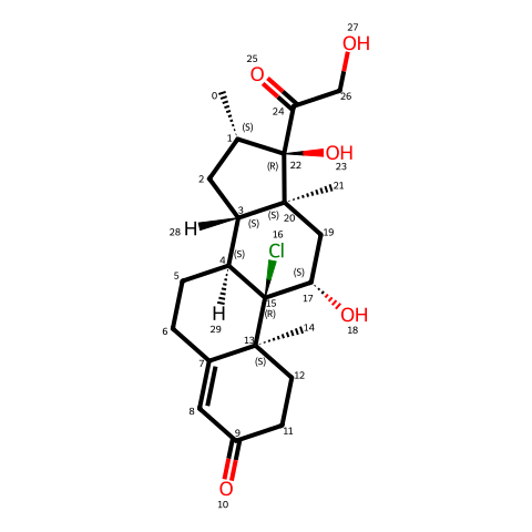 C[C@H]1C[C@H]2[C@@H]3CCC4=CC(=O)CC[C@]4(C)[C@@]3(Cl)[C@@H](O)C[C@]2(C)[C@@]1(O)C(=O)CO